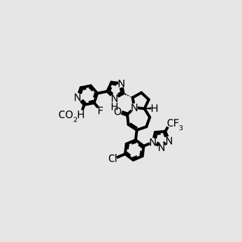 O=C(O)c1nccc(-c2cnc([C@@H]3CC[C@@H]4CCC(c5cc(Cl)ccc5-n5cc(C(F)(F)F)nn5)=CC(=O)N43)[nH]2)c1F